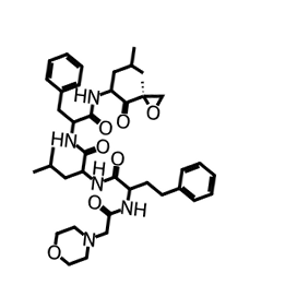 CC(C)CC(NC(=O)C(CCc1ccccc1)NC(=O)CN1CCOCC1)C(=O)NC(Cc1ccccc1)C(=O)NC(CC(C)C)C(=O)[C@@]1(C)CO1